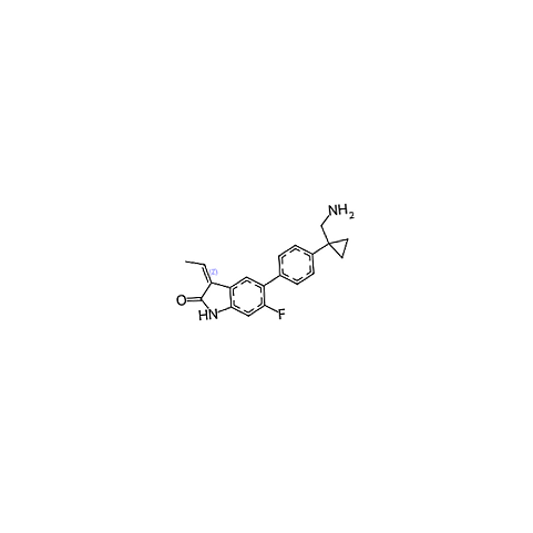 C/C=C1\C(=O)Nc2cc(F)c(-c3ccc(C4(CN)CC4)cc3)cc21